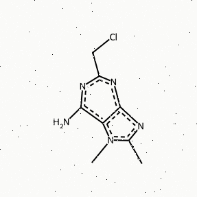 Cc1nc2nc(CCl)nc(N)c2n1C